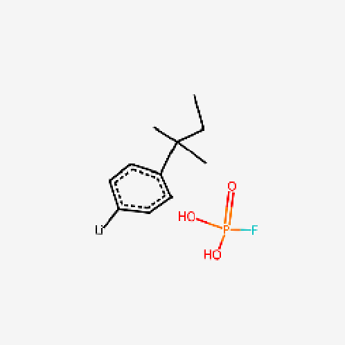 O=P(O)(O)F.[Li][c]1ccc(C(C)(C)CC)cc1